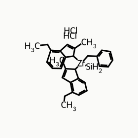 CCc1cccc2c1C=C(C)[CH]2[Zr](=[SiH2])([CH2]c1ccccc1)[CH]1C(C)=Cc2c(CC)cccc21.Cl.Cl